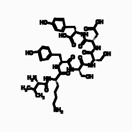 CC(C)[C@H](N)C(=O)N[C@@H](CCCCN)C(=O)N[C@@H](Cc1ccc(O)cc1)C(=O)N[C@@H](CO)C(=O)N[C@@H](CO)C(=O)N[C@@H](CC(=O)O)C(=O)N[C@@H](Cc1ccc(O)cc1)C(=O)O